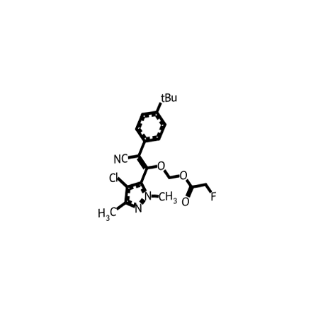 Cc1nn(C)c(/C(OCOC(=O)CF)=C(\C#N)c2ccc(C(C)(C)C)cc2)c1Cl